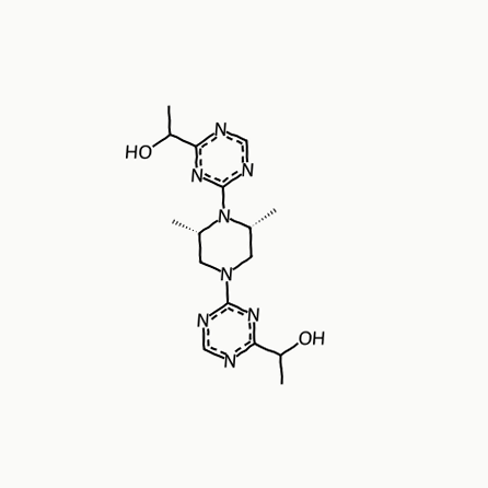 CC(O)c1ncnc(N2C[C@@H](C)N(c3ncnc(C(C)O)n3)[C@@H](C)C2)n1